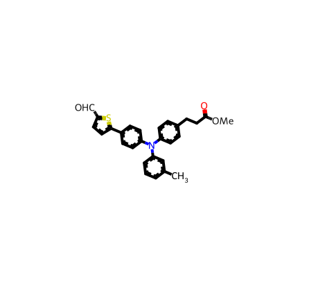 COC(=O)CCc1ccc(N(c2ccc(-c3ccc(C=O)s3)cc2)c2cccc(C)c2)cc1